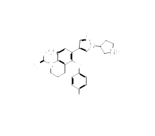 COC(=O)N1c2ccc(-c3cnn(C4CCNC4)c3)c(Oc3ccc(F)cc3)c2CC[C@@H]1C